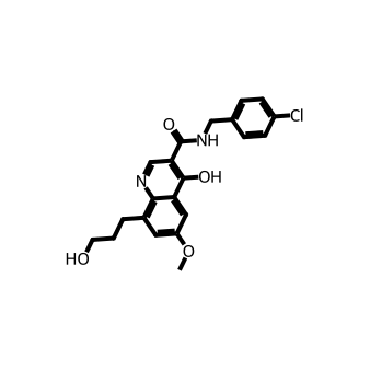 COc1cc(CCCO)c2ncc(C(=O)NCc3ccc(Cl)cc3)c(O)c2c1